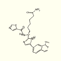 COc1nccc2ccc(-c3cnc([C@H](CCCCCC(N)=O)NC(=O)c4cncs4)[nH]3)cc12